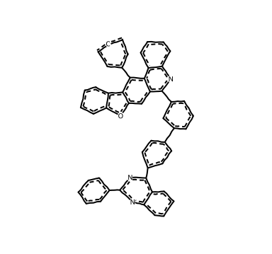 c1ccc(-c2nc(-c3ccc(-c4cccc(-c5nc6ccccc6c6c(-c7ccccc7)c7c(cc56)oc5ccccc57)c4)cc3)c3ccccc3n2)cc1